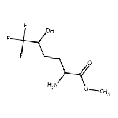 COC(=O)C(N)CCC(O)C(F)(F)F